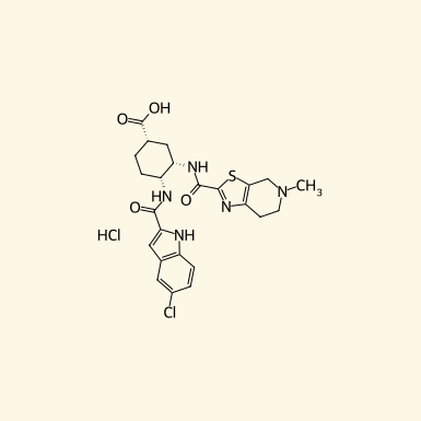 CN1CCc2nc(C(=O)N[C@H]3C[C@@H](C(=O)O)CC[C@H]3NC(=O)c3cc4cc(Cl)ccc4[nH]3)sc2C1.Cl